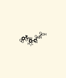 Cc1ccc(NC(=O)C2(c3ccc4c(c3)OCO4)CC2)cc1-c1cncc(C(=O)NCCC(=O)O)c1